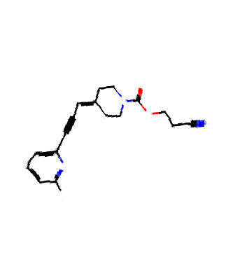 Cc1cccc(C#CC=C2CCN(C(=O)OCCC#N)CC2)n1